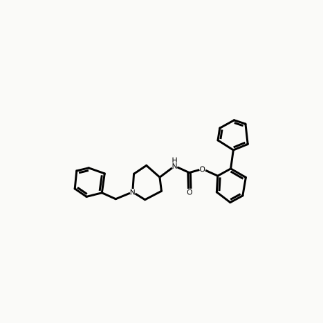 O=C(NC1CCN(Cc2ccccc2)CC1)Oc1ccccc1-c1ccccc1